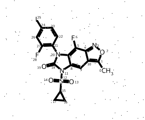 Cc1onc2c(F)c3c(cc12)n(S(=O)(=O)C1CC1)c(=O)n3-c1ccc(I)cc1F